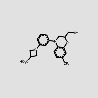 CC(C)CC1CN(c2cccc(N3CC(C(=O)O)C3)c2)c2ccc(C(F)(F)F)cc2O1